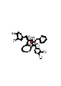 N[C@@H](Cc1ccccc1)C(=O)N1C2CCCCCC1/C(=C\c1ccc(Cl)c(Cl)c1)C(=O)/C2=C/c1ccc(Cl)c(Cl)c1